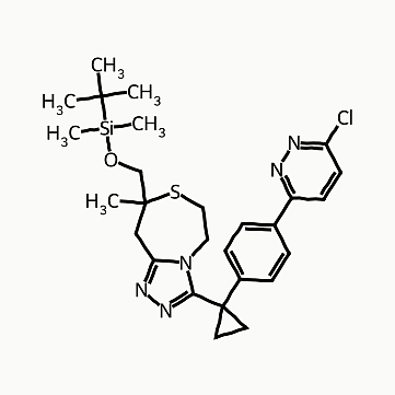 CC1(CO[Si](C)(C)C(C)(C)C)Cc2nnc(C3(c4ccc(-c5ccc(Cl)nn5)cc4)CC3)n2CCS1